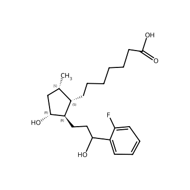 C[C@H]1C[C@@H](O)[C@H](CCC(O)c2ccccc2F)[C@H]1CCCCCCC(=O)O